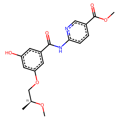 COC(=O)c1ccc(NC(=O)c2cc(O)cc(OC[C@H](C)OC)c2)nc1